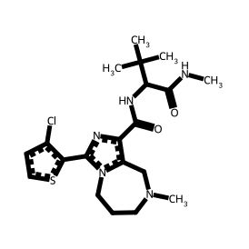 CNC(=O)C(NC(=O)c1nc(-c2sccc2Cl)n2c1CN(C)CCC2)C(C)(C)C